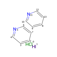 Cl.I.c1ccncc1.c1ccncc1